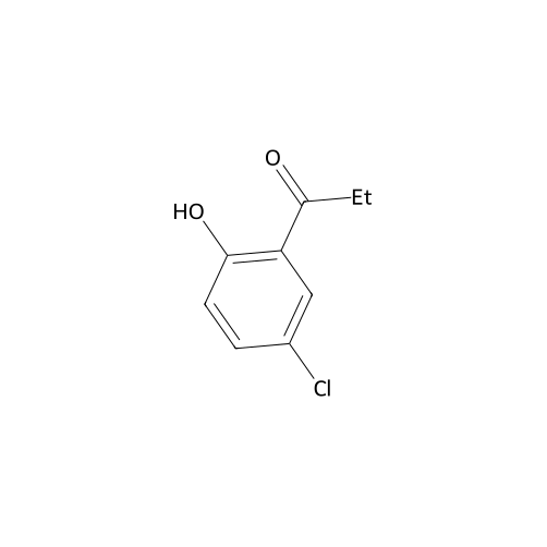 CCC(=O)c1cc(Cl)ccc1O